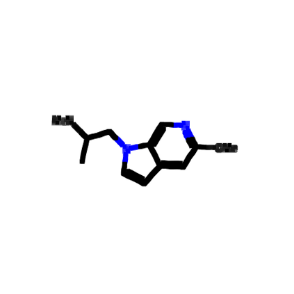 CNC(C)Cn1ccc2cc(OC)ncc21